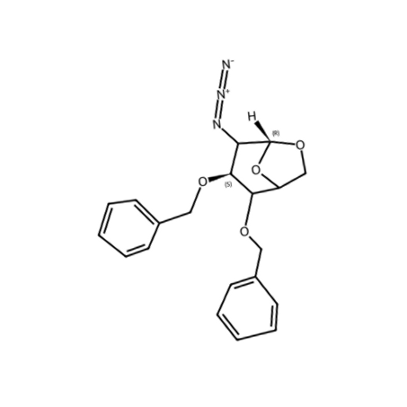 [N-]=[N+]=NC1[C@@H]2OCC(O2)C(OCc2ccccc2)[C@H]1OCc1ccccc1